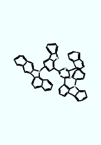 c1ccc(-n2c3ccccc3c3cccc(-c4nc(-c5cccc6ccccc56)nc(-c5cc(-n6c7cc8ccccc8cc7c7ccc8ccccc8c76)cc6c5oc5ccccc56)n4)c32)cc1